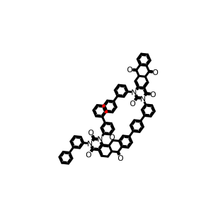 O=C1C2=c3c(c(=O)n(-c4cccc(-c5ccccc5)c4)c(=O)n3-c3cccc(-c4ccccc4)c3)=CCC2C(=O)c2ccc(-c3ccc(-c4cccc(-n5c(=O)c6c(n(-c7cccc(-c8ccccc8)c7)c5=O)=CC5C(=O)c7ccccc7C(=O)C5C=6)c4)cc3)cc21